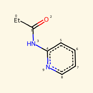 CCC(=O)Nc1ccccn1